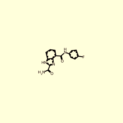 NC(=O)c1nc2c(C(=O)Nc3ccc(F)cc3)cccc2[nH]1